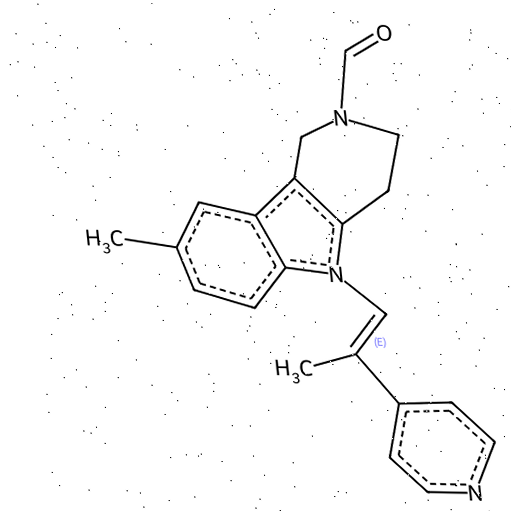 C/C(=C\n1c2c(c3cc(C)ccc31)CN(C=O)CC2)c1ccncc1